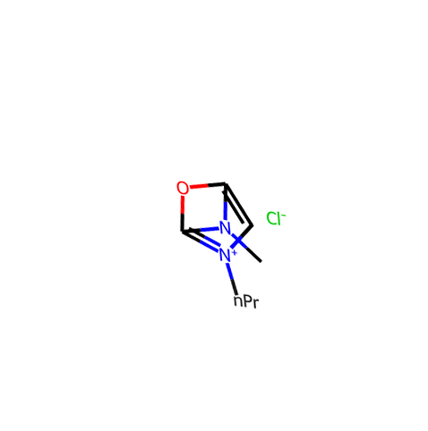 CCC[n+]1cc2oc1n2C.[Cl-]